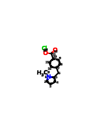 Cn1cccc1Cc1ccc(C(=O)OCl)cc1